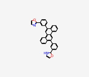 C1=COC(c2cccc(-c3cc4c5ccccc5c(-c5cccc(-c6ncco6)c5)cc4c4ccccc34)c2)N1